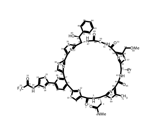 CNC(=O)C[C@@H]1NC(=O)c2csc(n2)-c2ccc(-c3nc(NC(=O)C(F)(F)F)cs3)nc2-c2csc(n2)-c2csc(n2)[C@H]([C@@H](O)c2ccccc2)NC(=O)CNC(=O)c2nc(sc2COC)[C@H](C(C)C)NC(=O)c2nc1sc2C